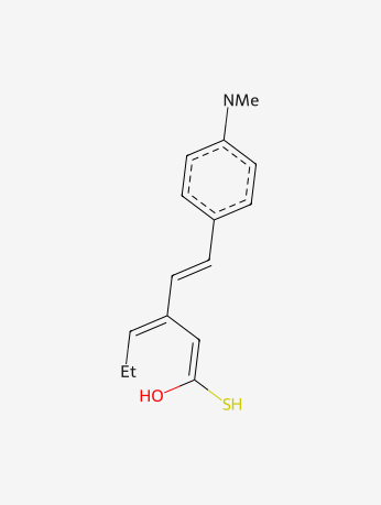 CC/C=C(/C=C/c1ccc(NC)cc1)\C=C(/O)S